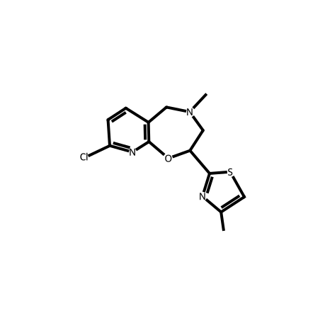 Cc1csc(C2CN(C)Cc3ccc(Cl)nc3O2)n1